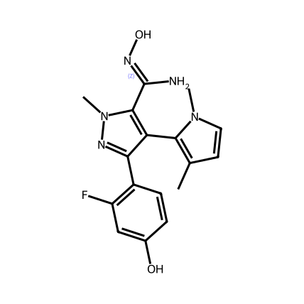 Cc1ccn(C)c1-c1c(-c2ccc(O)cc2F)nn(C)c1/C(N)=N/O